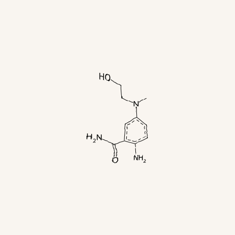 CN(CCO)c1ccc(N)c(C(N)=O)c1